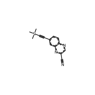 C[Si](C)(C)C#Cc1ccc2ncc(C#N)nc2c1